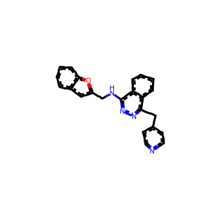 c1ccc2oc(CNc3nnc(Cc4ccncc4)c4ccccc34)cc2c1